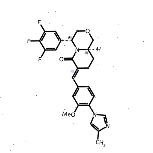 COc1cc(/C=C2\CC[C@@H]3COC[C@@H](c4cc(F)c(F)c(F)c4)N3C2=O)ccc1-n1cnc(C)c1